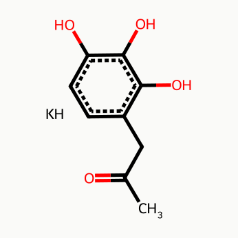 CC(=O)Cc1ccc(O)c(O)c1O.[KH]